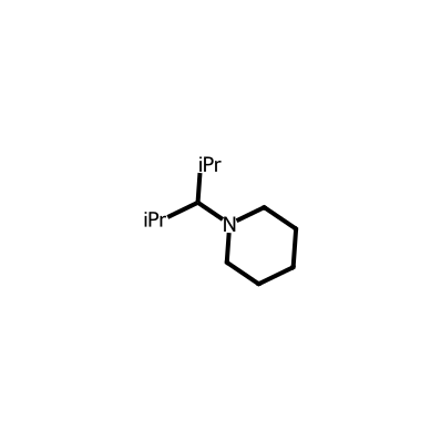 CC(C)C(C(C)C)N1CCCCC1